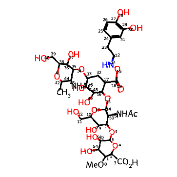 COC1C(C(=O)O)OC(OC2C(O)C(CO)OC(OC3C(C(=O)ONCCc4ccc(O)c(O)c4)CC(OC4C(O)C(CO)OC(C)C4NC(C)=O)C(O)C3O)C2NC(C)=O)C(O)C1O